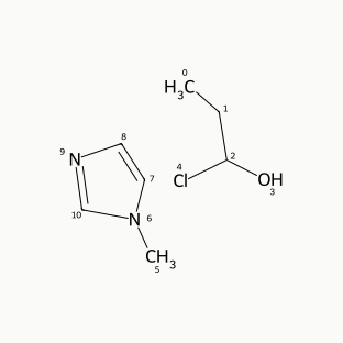 CCC(O)Cl.Cn1ccnc1